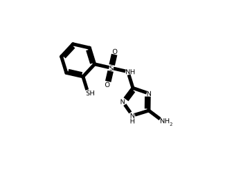 Nc1nc(NS(=O)(=O)c2ccccc2S)n[nH]1